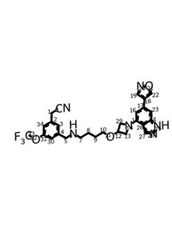 N#CCc1cc(CNCCCCOC2CN(c3cc(-c4cnoc4)cc4[nH]ncc34)C2)cc(OC(F)(F)F)c1